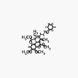 COC(=O)C1=C(C)N(CCCOc2ccccc2)C(C)=C(C(=O)OC)C1c1ccc(OC)c(OC)c1